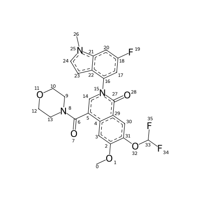 COc1cc2c(C(=O)N3CCOCC3)cn(-c3cc(F)cc4c3ccn4C)c(=O)c2cc1OC(F)F